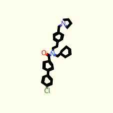 O=C(c1ccc(-c2ccc(Cl)cc2)cc1)N(CCc1ccc(CN2CCCC2)cc1)CC1CC=CCC1